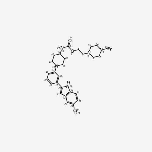 CC(C)N1CCN(CCOC(=O)NC2CCN(c3cccc(-c4cc5cc(C(F)(F)F)ccc5[nH]4)c3)CC2)CC1